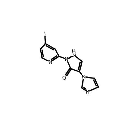 O=c1c(-n2ccnc2)c[nH]n1-c1cc(I)ccn1